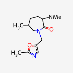 CNC1CCC(C)CN(Cc2cnc(C)o2)C1=O